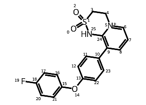 O=S1(=O)CC[n+]2cccc(-c3ccc(Oc4ccc(F)cc4)cc3)c2N1